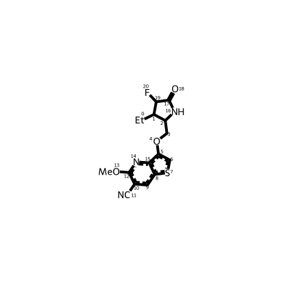 CCC1C(COc2csc3cc(C#N)c(OC)nc23)NC(=O)C1F